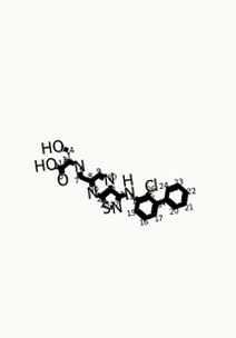 O=C(O)[C@H](CO)N=Cc1cnc2c(Nc3cccc(-c4ccccc4)c3Cl)nsc2n1